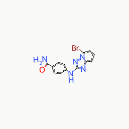 NC(=O)c1ccc(Nc2nc3cccc(Br)n3n2)cc1